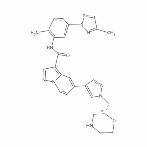 Cc1cnn(-c2ccc(C)c(NC(=O)c3cnn4ccc(-c5cnn(C[C@H]6CNCCO6)c5)cc34)c2)n1